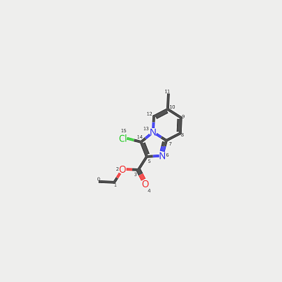 CCOC(=O)c1nc2ccc(C)cn2c1Cl